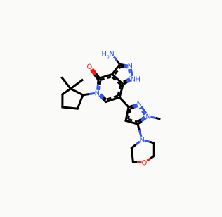 Cn1nc(-c2cn(C3CCCC3(C)C)c(=O)c3c(N)n[nH]c23)cc1N1CCOCC1